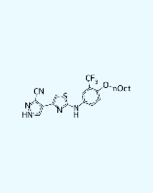 CCCCCCCCOc1ccc(Nc2nc(-c3c[nH]nc3C#N)cs2)cc1C(F)(F)F